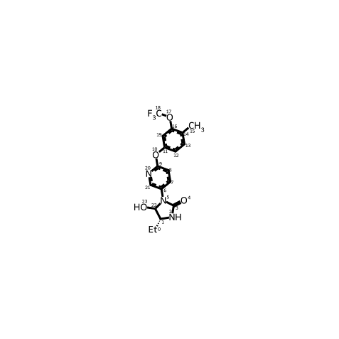 CC[C@H]1NC(=O)N(c2ccc(Oc3ccc(C)c(OC(F)(F)F)c3)nc2)C1O